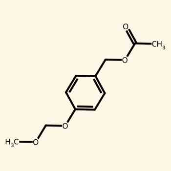 COCOc1ccc(COC(C)=O)cc1